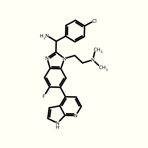 CN(C)CCn1c(C(N)c2ccc(Cl)cc2)nc2cc(F)c(-c3ccnc4[nH]ccc34)cc21